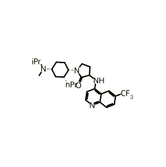 CCC[C@@H]1C[C@H](N(C)C(C)C)CC[C@@H]1N1CCC(Nc2ccnc3ccc(C(F)(F)F)cc23)C1=O